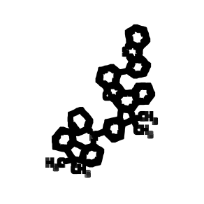 CC1(C)c2ccccc2-c2c(N(C3=CCCC=C3)c3ccc4c(c3)-c3c(c5ccccc5c5c3oc3cccc(-c6cccc7c6sc6ccccc67)c35)C4(C)C)cccc21